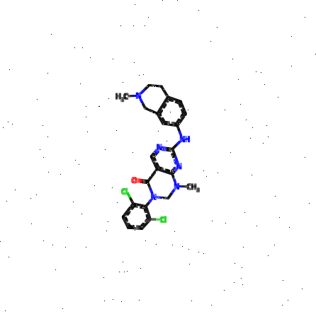 CN1CCc2ccc(Nc3ncc4c(n3)N(C)CN(c3c(Cl)cccc3Cl)C4=O)cc2C1